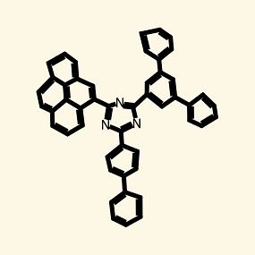 c1ccc(-c2ccc(-c3nc(-c4cc(-c5ccccc5)cc(-c5ccccc5)c4)nc(-c4cc5cccc6ccc7cccc4c7c65)n3)cc2)cc1